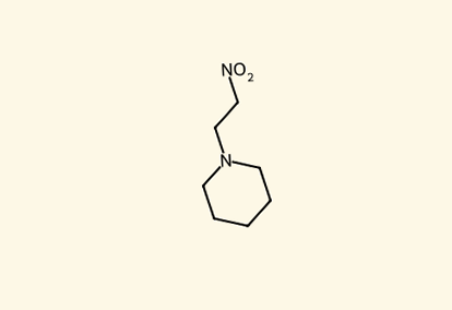 O=[N+]([O-])CCN1CCCCC1